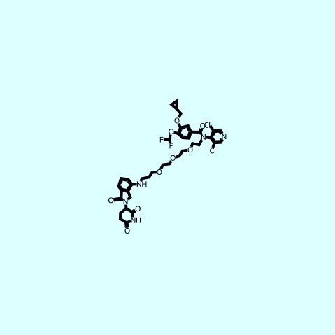 O=C1CCC(N2Cc3c(NCCCOCCOCCOCCN(C(=O)c4ccc(OC(F)F)c(OCC5CC5)c4)c4c(Cl)cncc4Cl)cccc3C2=O)C(=O)N1